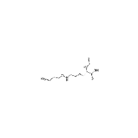 C#CCCCONCCCC[C@H](NC=O)C(=O)O